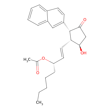 CCCCC[C@@H](C=C[C@H]1[C@H](O)CC(=O)[C@H]1c1ccc2ccccc2c1)OC(C)=O